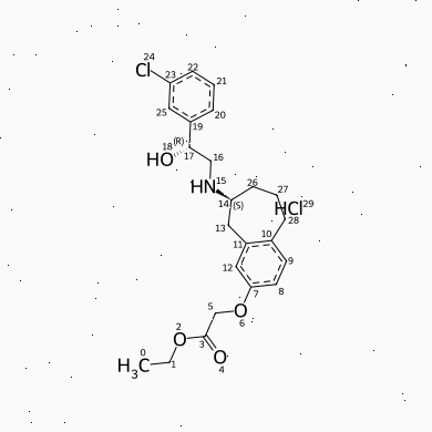 CCOC(=O)COc1ccc2c(c1)C[C@@H](NC[C@H](O)c1cccc(Cl)c1)CCC2.Cl